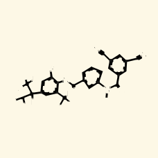 CN(C(=O)c1cc(C#N)cc(C#N)c1)c1cccc(C(=O)Nc2c(Br)cc(C(F)(C(F)(F)F)C(F)(F)F)cc2C(F)(F)F)c1